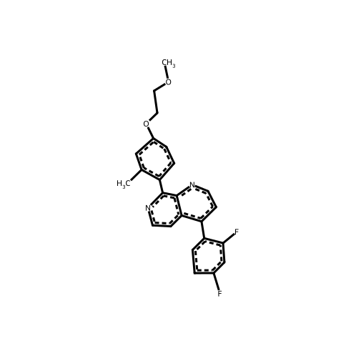 COCCOc1ccc(-c2nccc3c(-c4ccc(F)cc4F)ccnc23)c(C)c1